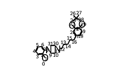 COc1ccccc1N1CCN(CCCCCc2ccc3c(c2)OCC(C)(C)CO3)CC1